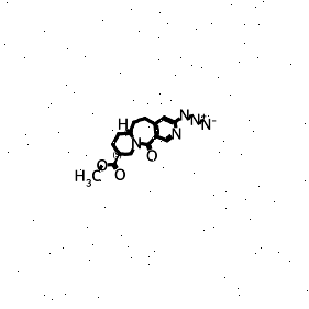 COC(=O)[C@H]1CC[C@@H]2CCc3cc(N=[N+]=[N-])ncc3C(=O)N2C1